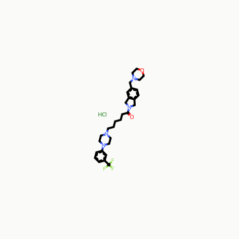 Cl.O=C(CCCCCN1CCN(c2cccc(C(F)(F)F)c2)CC1)N1Cc2ccc(CN3CCOCC3)cc2C1